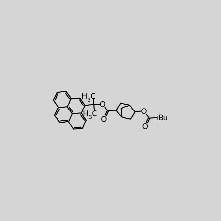 CCC(C)C(=O)OC1CC2CC1CC2C(=O)OC(C)(C)c1cc2cccc3ccc4cccc1c4c32